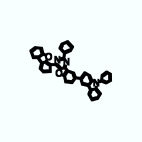 c1ccc(-c2nc(-c3cccc4c3oc3ccccc34)c3oc4ccc(-c5ccc6c(c5)c5ccccc5n6-c5ccccc5)cc4c3n2)cc1